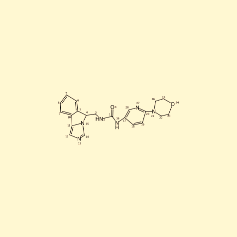 O=C(NCC1c2ccccc2-c2cncn21)Nc1ccc(N2CCOCC2)nc1